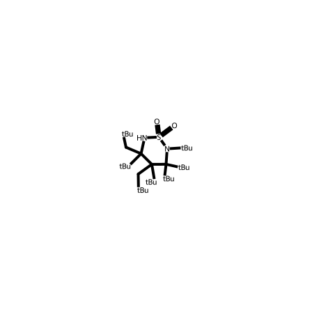 CC(C)(C)CC1(C(C)(C)C)NS(=O)(=O)N(C(C)(C)C)C(C(C)(C)C)(C(C)(C)C)C1(CC(C)(C)C)C(C)(C)C